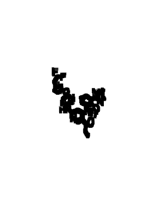 CCC(=O)c1cnc(Nc2cnc(O[C@@H]3CCN(CC(F)F)C3)cn2)cc1Nc1cccc(-c2ncn(C)n2)c1OC